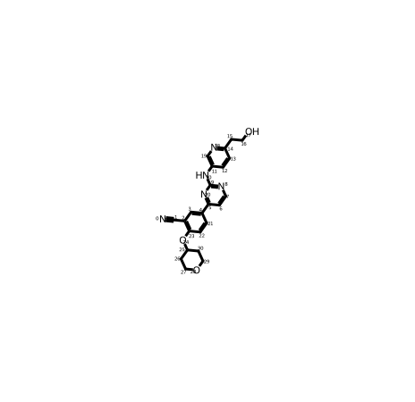 N#Cc1cc(-c2ccnc(Nc3ccc(CCO)nc3)n2)ccc1OC1CCOCC1